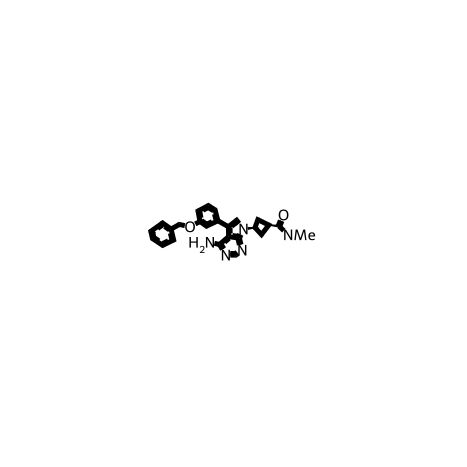 CNC(=O)[C@H]1C[C@@H](n2cc(-c3cccc(OCc4ccccc4)c3)c3c(N)ncnc32)C1